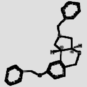 c1ccc(COc2ccc3c(c2)[C@@H]2CN(Cc4ccccc4)C[C@H]2OC3)cc1